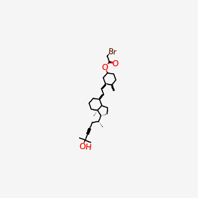 C=C1CC[C@H](OC(=O)CBr)C/C1=C/C=C1\CCC[C@@]2(C)C1CC[C@@H]2[C@H](C)CC#CC(C)(C)O